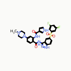 CN1CCN(c2ccc(C(=O)Nc3n[nH]c4ccc(S(=O)(=O)c5cc(F)cc(F)c5)cc34)c(NC(=O)c3cc[nH]c3)c2)CC1